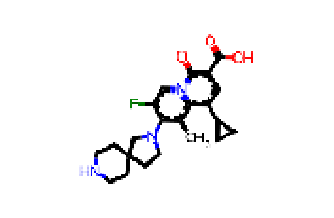 Cc1c(N2CCC3(CCNCC3)C2)c(F)cn2c(=O)c(C(=O)O)cc(C3CC3)c12